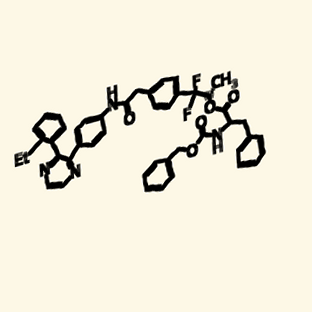 CCc1ccccc1-c1nccnc1-c1ccc(NC(=O)Cc2ccc(C(F)(F)[C@H](C)OC(=O)C(Cc3ccccc3)NC(=O)OCc3ccccc3)cc2)cc1